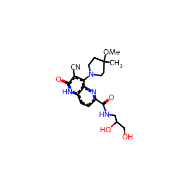 COC1(C)CCN(c2c(C#N)c(=O)[nH]c3ccc(C(=O)NCC(O)CO)nc23)CC1